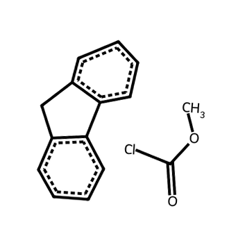 COC(=O)Cl.c1ccc2c(c1)Cc1ccccc1-2